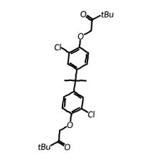 CC(C)(C)C(=O)COc1ccc(C(C)(C)c2ccc(OCC(=O)C(C)(C)C)c(Cl)c2)cc1Cl